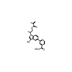 C=C(C)C(=O)OCC(C)n1cc(C#N)c2cc(-c3cc(C(=O)OC)ccn3)ccc21